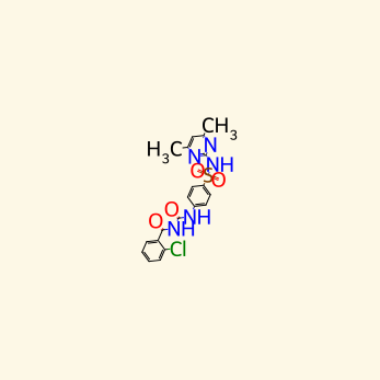 Cc1cc(C)nc(NS(=O)(=O)c2ccc(NC(=O)NC(=O)c3ccccc3Cl)cc2)n1